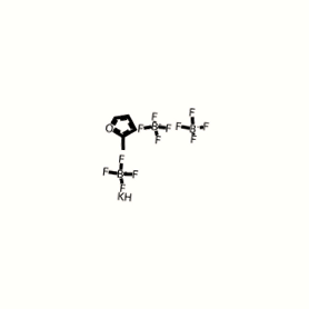 Cc1ccco1.F[B-](F)(F)F.F[B-](F)(F)F.F[B-](F)(F)F.[KH]